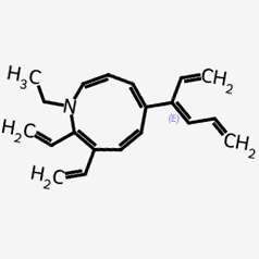 C=C/C=C(\C=C)c1cccn(CC)c(C=C)c(C=C)cc1